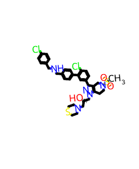 CS(=O)(=O)N1CCc2c(c(-c3ccc(Cl)c(-c4ccc(CNCc5ccc(Cl)cc5)cc4)c3)nn2C[C@@H](O)CN2CCSCC2)C1